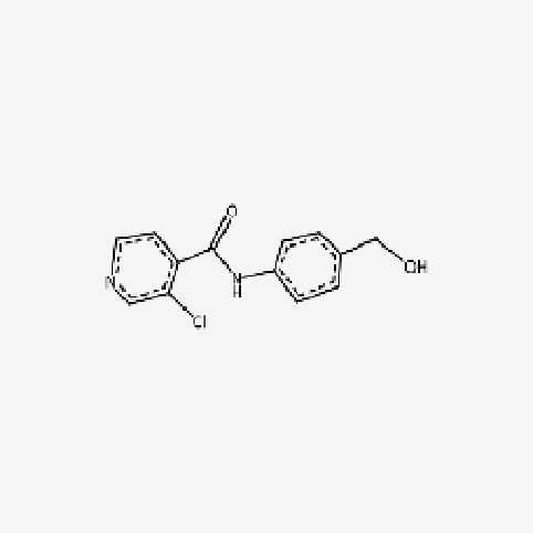 O=C(Nc1ccc(CO)cc1)c1ccncc1Cl